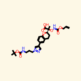 C=CCOC(=O)NOC(C)(C(=O)O)[C@H]1CCc2cc(-c3cnn(CCCNC(=O)OC(C)(C)C)c3)ccc2O1